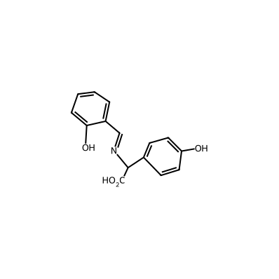 O=C(O)C(N=Cc1ccccc1O)c1ccc(O)cc1